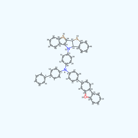 c1ccc(-c2ccc(N(c3ccc(-c4ccc5c(c4)oc4ccccc45)cc3)c3ccc(N4c5c(sc6ccccc56)C5Sc6ccccc6C54)cc3)cc2)cc1